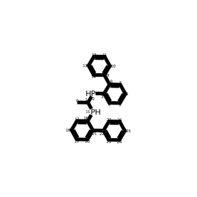 CC(Pc1ccccc1-c1ccccc1)Pc1ccccc1-c1ccccc1